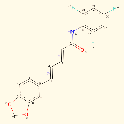 O=C(/C=C/C=C/c1ccc2c(c1)OCO2)Nc1c(F)cc(F)cc1F